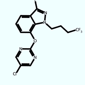 FC(F)(F)CCCn1nc(I)c2cccc(Oc3ncc(Cl)cn3)c21